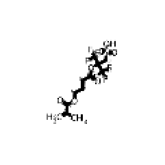 C=C(C)C(=O)OCCCC(=O)OC(CS(=O)(=O)O)(C(F)(F)F)C(F)(F)F